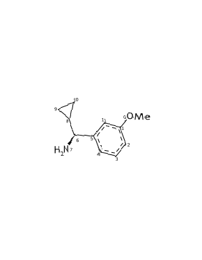 COc1cccc([C@@H](N)C2CC2)c1